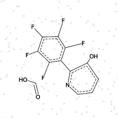 O=CO.Oc1cccnc1-c1c(F)c(F)c(F)c(F)c1F